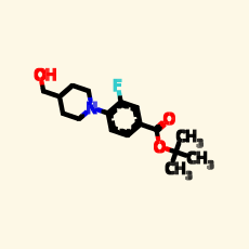 CC(C)(C)OC(=O)c1ccc(N2CCC(CO)CC2)c(F)c1